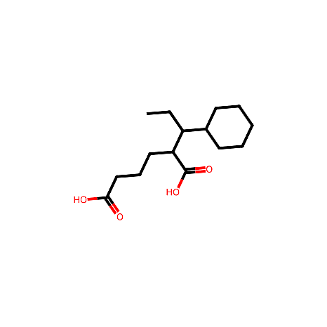 CCC(C1CCCCC1)C(CCCC(=O)O)C(=O)O